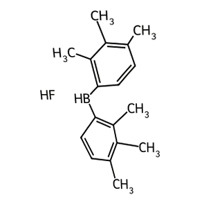 Cc1ccc(Bc2ccc(C)c(C)c2C)c(C)c1C.F